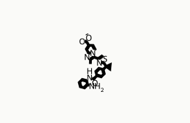 COC(=O)c1ccn2c(-c3csc(C4(c5ccc(C(=O)Nc6ccccc6N)cc5)CC4)n3)c(C)nc2c1